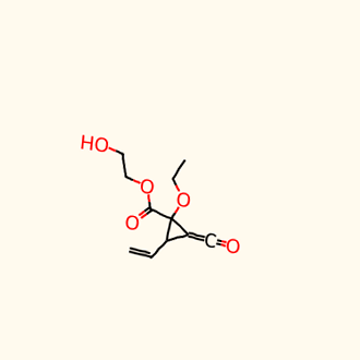 C=CC1C(=C=O)C1(OCC)C(=O)OCCO